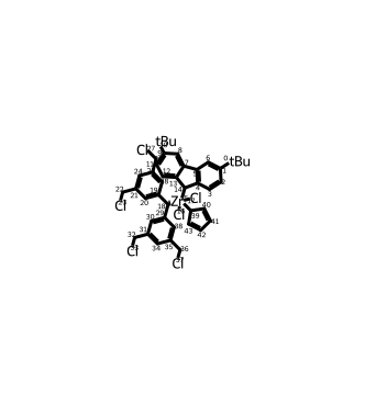 CC(C)(C)c1ccc2c(c1)-c1cc(C(C)(C)C)ccc1[CH]2[Zr]([Cl])([Cl])(=[C](c1cc(CCl)cc(CCl)c1)c1cc(CCl)cc(CCl)c1)[CH]1C=CC=C1